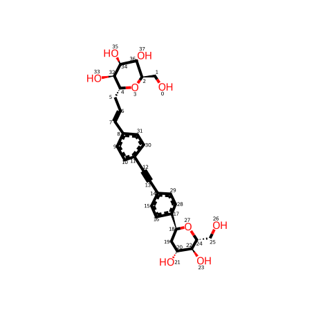 OC[C@H]1O[C@H](C/C=C/c2ccc(C#Cc3ccc([C@@H]4C[C@@H](O)[C@H](O)[C@@H](CO)O4)cc3)cc2)[C@@H](O)[C@@H](O)[C@@H]1O